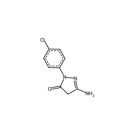 NC1=NN(c2ccc(Cl)cc2)C(=O)C1